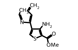 C=C/C=C(\N=C/C)c1csc(C(=O)OC)c1N